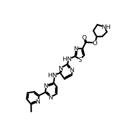 Cc1cccc(-c2nccc(Nc3ccnc(Nc4nc(C(=O)OC5CCNCC5)cs4)n3)n2)n1